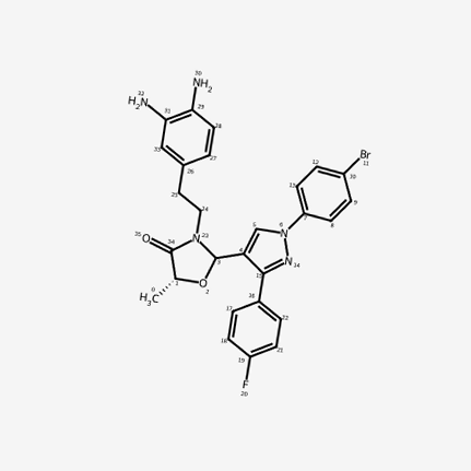 C[C@H]1OC(c2cn(-c3ccc(Br)cc3)nc2-c2ccc(F)cc2)N(CCc2ccc(N)c(N)c2)C1=O